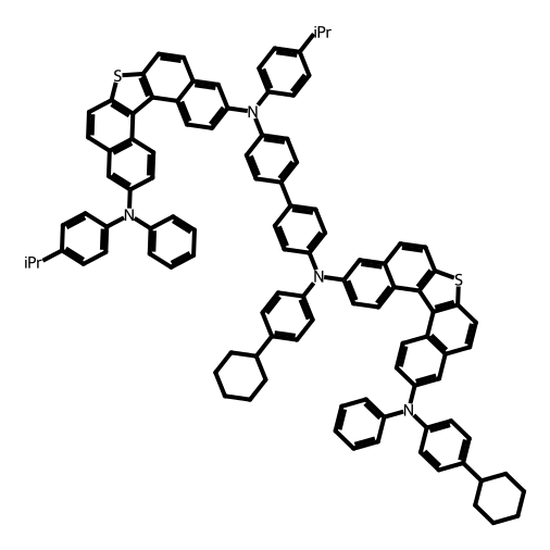 CC(C)c1ccc(N(c2ccccc2)c2ccc3c(ccc4sc5ccc6cc(N(c7ccc(-c8ccc(N(c9ccc(C%10CCCCC%10)cc9)c9ccc%10c(ccc%11sc%12ccc%13cc(N(c%14ccccc%14)c%14ccc(C%15CCCCC%15)cc%14)ccc%13c%12c%11%10)c9)cc8)cc7)c7ccc(C(C)C)cc7)ccc6c5c43)c2)cc1